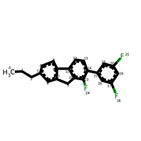 CCCc1ccc2c(c1)Cc1c-2ccc(-c2cc(F)cc(F)c2)c1F